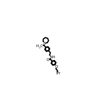 CC(C)CCOc1ccc(C(=O)NCCc2ccc(C(C)N3CCCCCC3)cc2)cc1